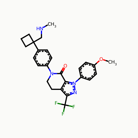 CNCC1(c2ccc(N3CCc4c(C(F)(F)F)nn(-c5ccc(OC)cc5)c4C3=O)cc2)CCC1